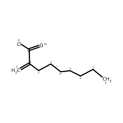 C=C(CCCCCCC)C(=O)Cl